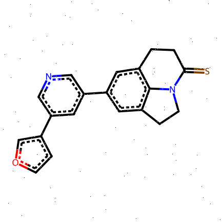 S=C1CCc2cc(-c3cncc(-c4ccoc4)c3)cc3c2N1CC3